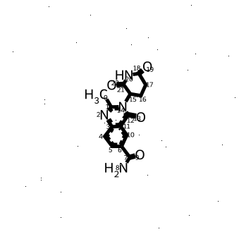 Cc1nc2ccc(C(N)=O)cc2c(=O)n1C1CCC(=O)NC1=O